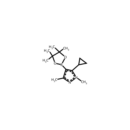 Cc1nn(C)c(C2CC2)c1B1OC(C)(C)C(C)(C)O1